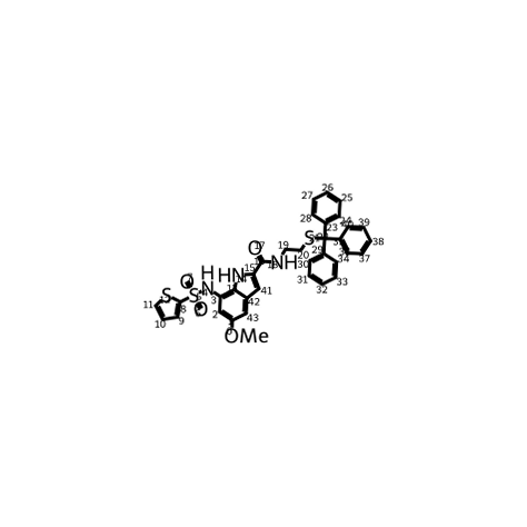 COc1cc(NS(=O)(=O)c2cccs2)c2[nH]c(C(=O)NCCSC(c3ccccc3)(c3ccccc3)c3ccccc3)cc2c1